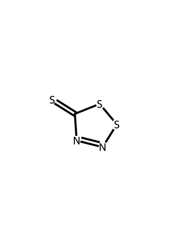 S=c1nnss1